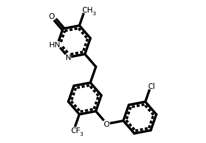 Cc1cc(Cc2ccc(C(F)(F)F)c(Oc3cccc(Cl)c3)c2)n[nH]c1=O